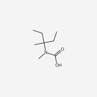 CCC(C)(CC)N(C)C(=O)O